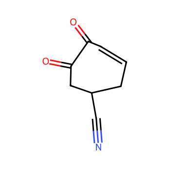 N#CC1CC=CC(=O)C(=O)C1